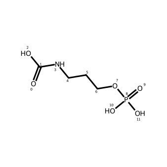 O=C(O)NCCCOP(=O)(O)O